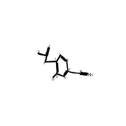 C=C(C)Cc1ccc(C#N)cc1C